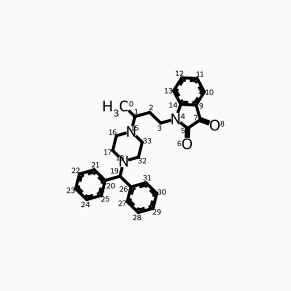 CC(CCN1C(=O)C(=O)c2ccccc21)N1CCN(C(c2ccccc2)c2ccccc2)CC1